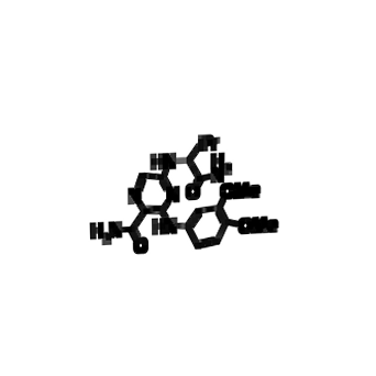 COc1ccc(Nc2nc(NC(C(N)=O)C(C)C)cnc2C(N)=O)cc1OC